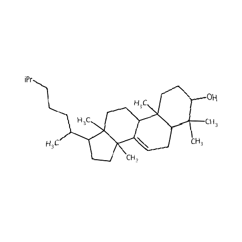 CC(C)CCCC(C)C1CCC2(C)C3=CCC4C(C)(C)C(O)CCC4(C)C3CCC12C